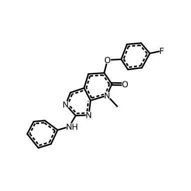 Cn1c(=O)c(Oc2ccc(F)cc2)cc2cnc(Nc3ccccc3)nc21